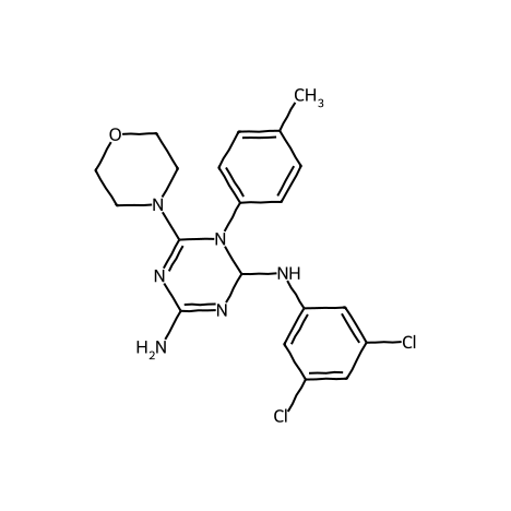 Cc1ccc(N2C(N3CCOCC3)=NC(N)=NC2Nc2cc(Cl)cc(Cl)c2)cc1